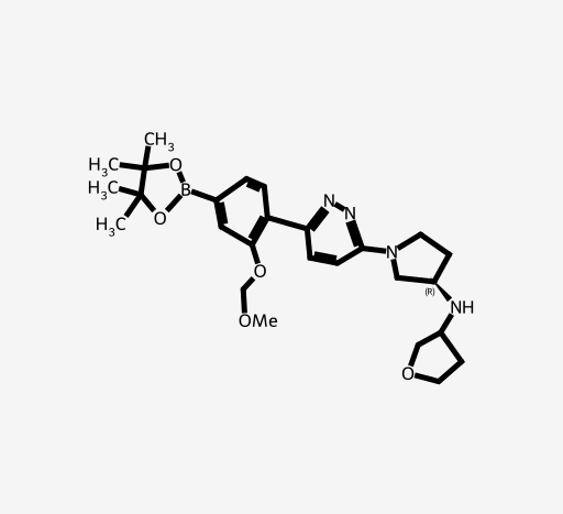 COCOc1cc(B2OC(C)(C)C(C)(C)O2)ccc1-c1ccc(N2CC[C@@H](NC3CCOC3)C2)nn1